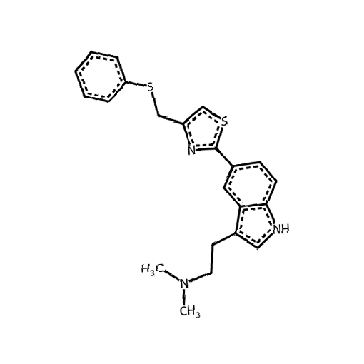 CN(C)CCc1c[nH]c2ccc(-c3nc(CSc4ccccc4)cs3)cc12